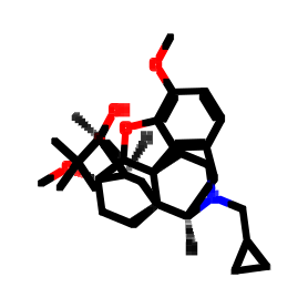 COc1ccc2c3c1O[C@H]1[C@]4(OC)CC[C@]5(C[C@@H]4[C@](C)(O)C(C)(C)C)[C@@H](C2)N(CC2CC2)CC[C@]315